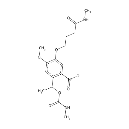 CNC(=O)CCCOc1cc([N+](=O)[O-])c(C(C)OC(=O)NC)cc1OC